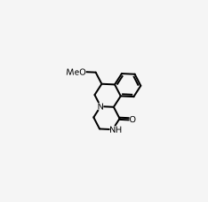 COCC1CN2CCNC(=O)C2c2ccccc21